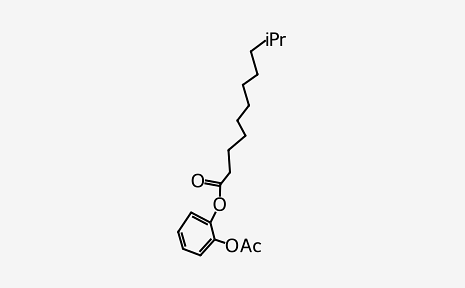 CC(=O)Oc1ccccc1OC(=O)CCCCCCCCC(C)C